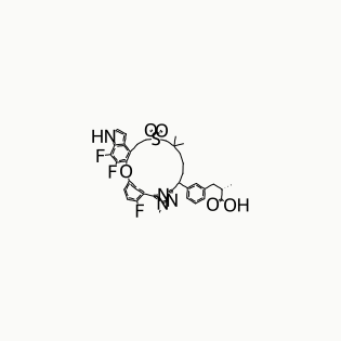 C[C@@H](Cc1cccc(C2CCCC(C)(C)CS(=O)(=O)CCc3c(c(F)c(F)c4[nH]ccc34)Oc3ccc(F)c(c3)-c3nc2nn3C)c1)C(=O)O